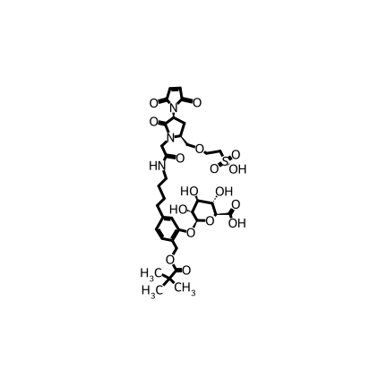 CC(C)(C)C(=O)OCc1ccc(CCCCNC(=O)CN2C(=O)[C@@H](N3C(=O)C=CC3=O)C[C@H]2COCCS(=O)(=O)O)cc1O[C@@H]1O[C@H](C(=O)O)[C@@H](O)[C@H](O)[C@H]1O